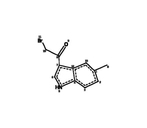 Cc1ccc2[nH]cc(C(=O)CBr)c2c1